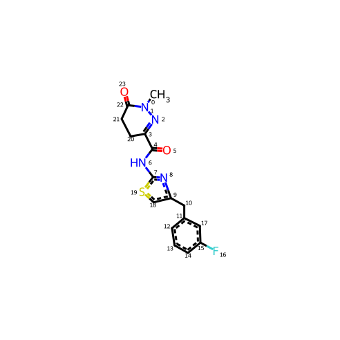 CN1N=C(C(=O)Nc2nc(Cc3cccc(F)c3)cs2)CCC1=O